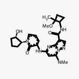 CNc1cc(Nc2cccn([C@H]3CCC[C@H]3O)c2=O)nc2c(C(=O)NC3CCC3(C)OC)cnn12